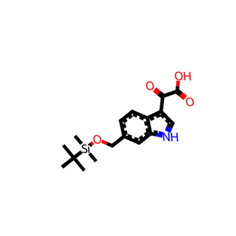 CC(C)(C)[Si](C)(C)OCc1ccc2c(C(=O)C(=O)O)c[nH]c2c1